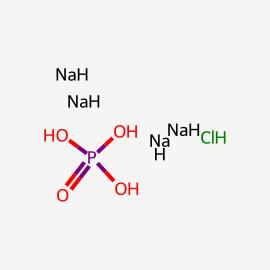 Cl.O=P(O)(O)O.[NaH].[NaH].[NaH].[NaH]